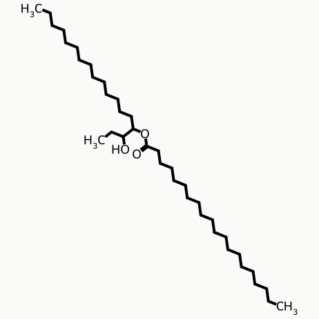 CCCCCCCCCCCCCCCCCCCC(=O)OC(CCCCCCCCCCCCCC)C(O)CC